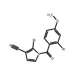 COc1ccc(C(=O)n2ccc(C#N)c2Br)c(Br)c1